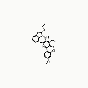 CCO[C@H]1Cc2ccccc2[C@H]1Nc1c(C)nc(-c2ccc(OC)cc2Cl)c(=O)n1CC